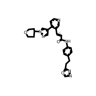 O=C(/C=C/c1cnccc1-c1cnn(C2CCOCC2)c1)Nc1ccc(CCc2nnco2)cc1